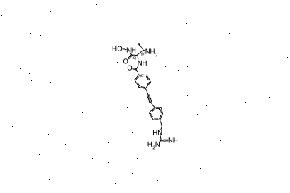 C[C@@H](N)[C@H](NC(=O)c1ccc(C#Cc2ccc(CNC(=N)N)cc2)cc1)C(=O)NO